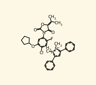 CC(C)=C1OC(=O)N(c2cc(OC3CCCC3)c(Cl)cc2F)C1=O.Cn1c(-c2ccccc2)cc(-c2ccccc2)[n+]1C